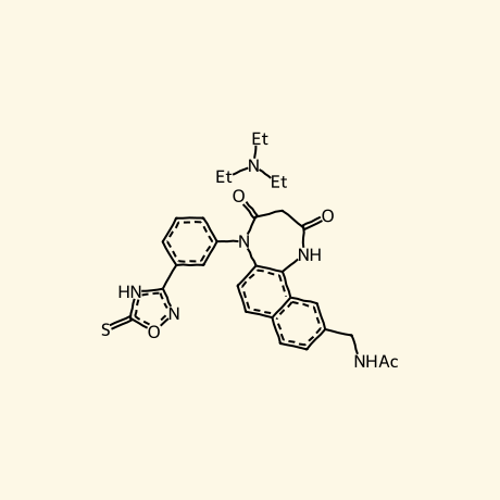 CC(=O)NCc1ccc2ccc3c(c2c1)NC(=O)CC(=O)N3c1cccc(-c2noc(=S)[nH]2)c1.CCN(CC)CC